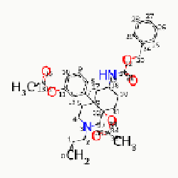 C=CCN1CCC2(c3cccc(OC(C)=O)c3)CC(NC(=O)OCc3ccccc3)CCC2(OC(C)=O)C1